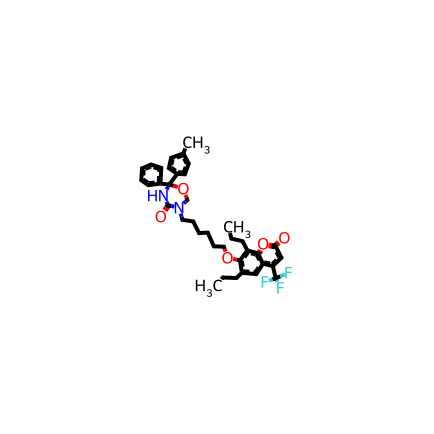 CCCc1cc2c(C(F)(F)F)cc(=O)oc2c(CCC)c1OCCCCCCN1COC(c2ccccc2)(c2ccc(C)cc2)NC1=O